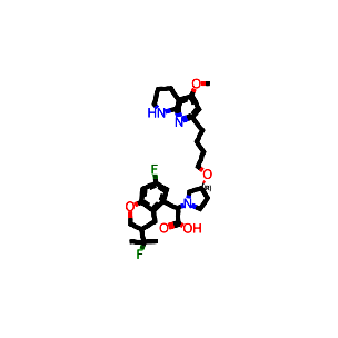 COc1cc(CCCCO[C@@H]2CCN(C(C(=O)O)c3cc(F)cc4c3CC(C(C)(C)F)CO4)C2)nc2c1CCCN2